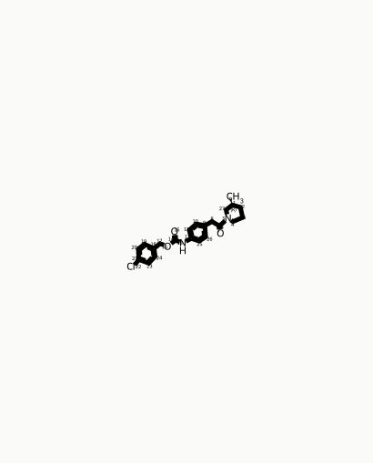 C[C@@H]1CCCN(C(=O)Cc2ccc(NC(=O)OCc3ccc(Cl)cc3)cc2)C1